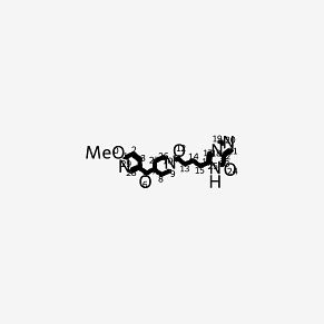 COc1ccc(C(=O)C2CCN(C(=O)CCCc3cn4cncc4c(=O)[nH]3)CC2)cn1